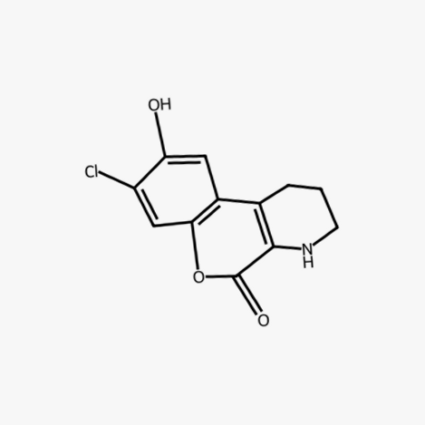 O=c1oc2cc(Cl)c(O)cc2c2c1NCCC2